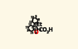 CCC(C(=O)C(=O)O)C1(c2ccccc2)CCCCC1